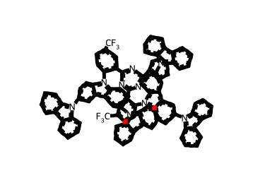 FC(F)(F)c1ccc(-n2c3ccc(-n4c5ccccc5c5ccccc54)cc3c3cc(-n4c5ccccc5c5ccccc54)ccc32)c(-c2nc(-c3ccccc3)nc(-c3cc(C(F)(F)F)ccc3-n3c4ccc(-n5c6ccccc6c6ccccc65)cc4c4cc(-n5c6ccccc6c6ccccc65)ccc43)n2)c1